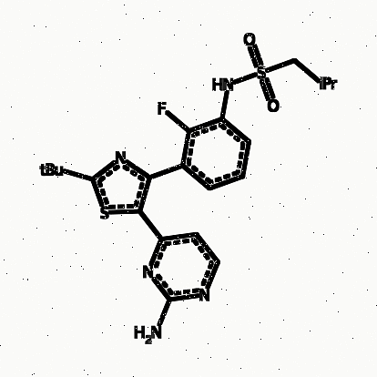 CC(C)CS(=O)(=O)Nc1cccc(-c2nc(C(C)(C)C)sc2-c2ccnc(N)n2)c1F